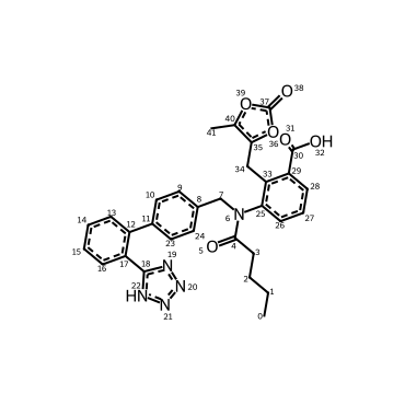 CCCCC(=O)N(Cc1ccc(-c2ccccc2-c2nnn[nH]2)cc1)c1cccc(C(=O)O)c1Cc1oc(=O)oc1C